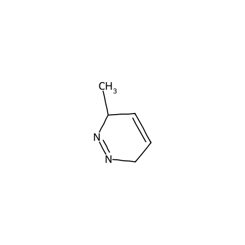 CC1C=CCN=N1